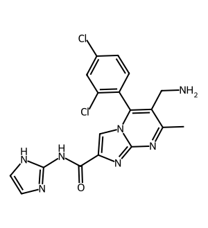 Cc1nc2nc(C(=O)Nc3ncc[nH]3)cn2c(-c2ccc(Cl)cc2Cl)c1CN